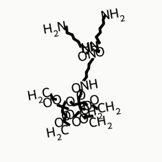 C=CC(=O)OCC(COCC(COC(=O)C=C)(COC(=O)C=C)COC(=O)NCCCCCCN(C(=O)NCCCCCCN)C(=O)NCCCCCCN)(COC(=O)C=C)COC(=O)C=C